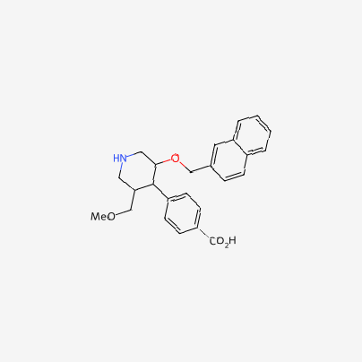 COCC1CNCC(OCc2ccc3ccccc3c2)C1c1ccc(C(=O)O)cc1